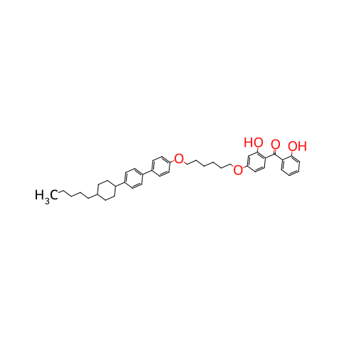 CCCCCC1CCC(c2ccc(-c3ccc(OCCCCCCOc4ccc(C(=O)c5ccccc5O)c(O)c4)cc3)cc2)CC1